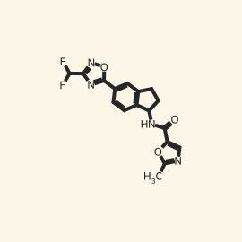 Cc1ncc(C(=O)NC2CCc3cc(-c4nc(C(F)F)no4)ccc32)o1